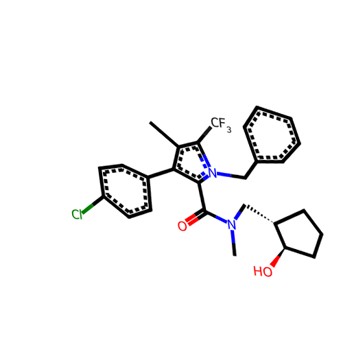 Cc1c(-c2ccc(Cl)cc2)c(C(=O)N(C)C[C@@H]2CCC[C@H]2O)n(Cc2ccccc2)c1C(F)(F)F